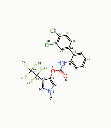 Cn1cc(OC(=O)Nc2ccccc2-c2ccc(Cl)c(Cl)c2)c(C(F)(F)C(F)(F)F)c1